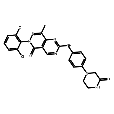 Cc1nn(-c2c(Cl)cccc2Cl)c(=O)c2cnc(Nc3ccc(N4CCNC(=O)C4)cc3)nc12